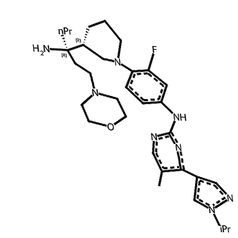 CCC[C@@](N)(CCN1CCOCC1)[C@@H]1CCCN(c2ccc(Nc3ncc(C)c(-c4cnn(C(C)C)c4)n3)cc2F)C1